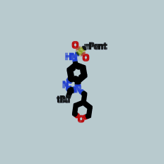 CCCCCS(=O)(=O)Nc1ccc2c(c1)nc(C(C)(C)C)n2CC1CCOCC1